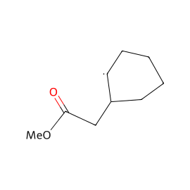 COC(=O)CC1[CH]CCCC1